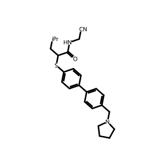 CC(C)CC(Sc1ccc(-c2ccc(CN3CCCC3)cc2)cc1)C(=O)NCC#N